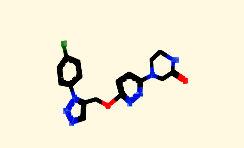 O=C1CN(c2ccc(OCc3cnnn3-c3ccc(Cl)cc3)nn2)CCN1